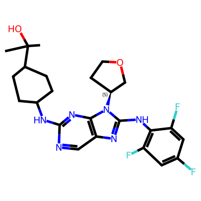 CC(C)(O)C1CCC(Nc2ncc3nc(Nc4c(F)cc(F)cc4F)n([C@H]4CCOC4)c3n2)CC1